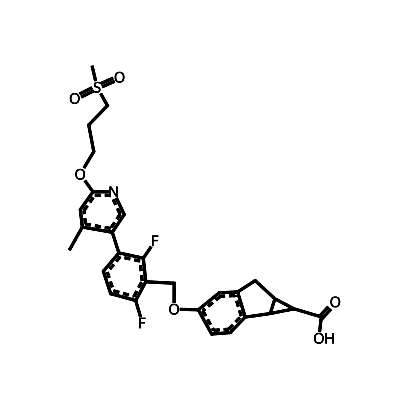 Cc1cc(OCCCS(C)(=O)=O)ncc1-c1ccc(F)c(COc2ccc3c(c2)CC2C(C(=O)O)C32)c1F